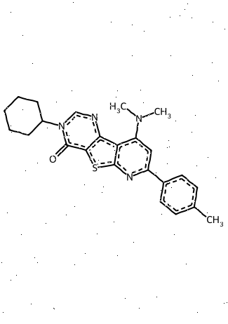 Cc1ccc(-c2cc(N(C)C)c3c(n2)sc2c(=O)n(C4CCCCC4)cnc23)cc1